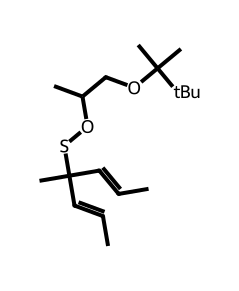 CC=CC(C)(C=CC)SOC(C)COC(C)(C)C(C)(C)C